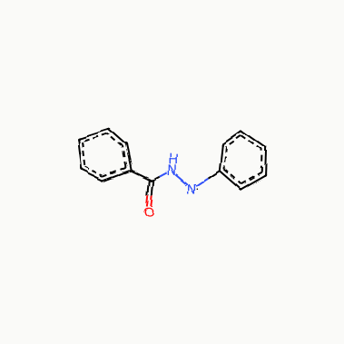 O=C(N[N]c1ccccc1)c1ccccc1